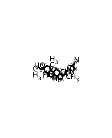 CCC[C@@]1(O)CC[C@@]2(CC)[C@H](CC[C@H]3[C@@H]4CC[C@H]([C@@H](C)Cn5cc(C#N)cn5)[C@@]4(C)CC[C@@H]32)C1